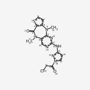 CN1C(=O)c2sccc2N(C)c2nc(Nc3ccn(C(=O)CCl)n3)ncc21